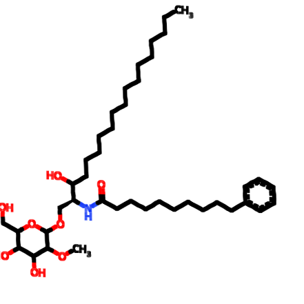 CCCCCCCCCCCCCCCC(O)[C@H](COC1OC(CO)C(O)C(O)C1OC)NC(=O)CCCCCCCCCc1ccccc1